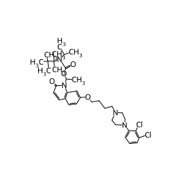 CC(C)N(C(=O)OC(C)n1c(=O)ccc2ccc(OCCCCN3CCN(c4cccc(Cl)c4Cl)CC3)cc21)C(C)(C)C(C)(C)C